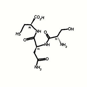 NC(=O)C[C@H](NC(=O)[C@@H](N)CO)C(=O)N[C@@H](CS)C(=O)O